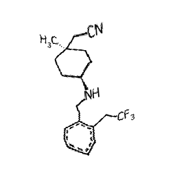 C[C@]1(CC#N)CC[C@@H](NCc2ccccc2CC(F)(F)F)CC1